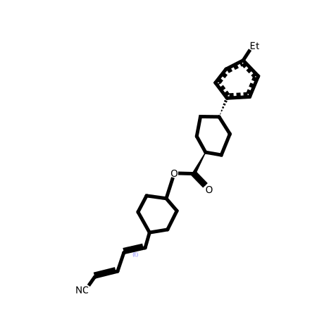 CCc1ccc([C@H]2CC[C@H](C(=O)OC3CCC(/C=C/C=CC#N)CC3)CC2)cc1